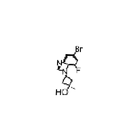 C[C@]1(O)C[C@@H](n2cnc3cc(Br)cc(F)c32)C1